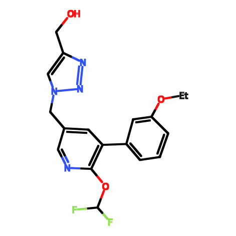 CCOc1cccc(-c2cc(Cn3cc(CO)nn3)cnc2OC(F)F)c1